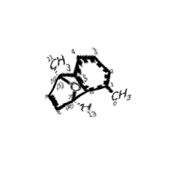 Cc1cccc2c1[C@H]1C=C[C@]2(C)O1